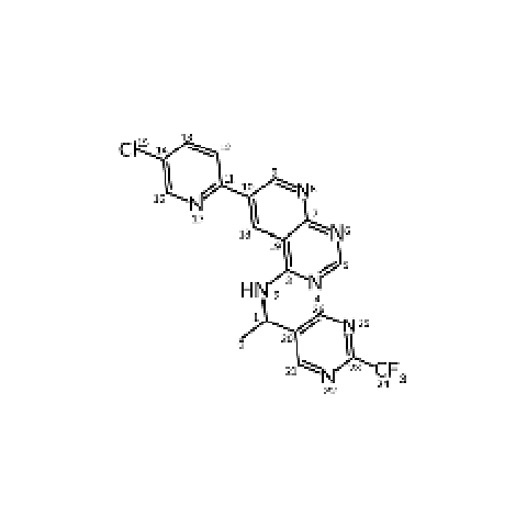 CC(Nc1ncnc2ncc(-c3ccc(Cl)cn3)cc12)c1cnc(C(F)(F)F)nc1